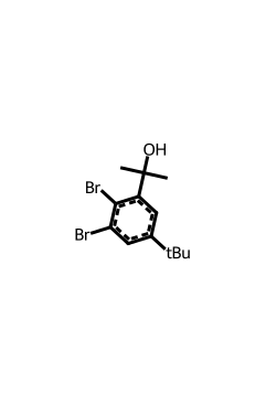 CC(C)(C)c1cc(Br)c(Br)c(C(C)(C)O)c1